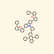 c1ccc(-c2c3ccccc3c(-c3ccccc3)c3cc(-c4cccc(-n5c6cc(-c7cccc8c7oc7c(-c9ccccc9)cccc78)ccc6c6ccc(-c7cccc8c7oc7c(-c9ccccc9)cccc78)cc65)c4)ccc23)cc1